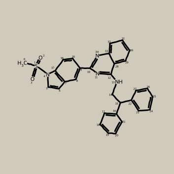 CS(=O)(=O)n1ccc2cc(-c3nc(NCC(c4ccccc4)c4ccccc4)c4ccccc4n3)ccc21